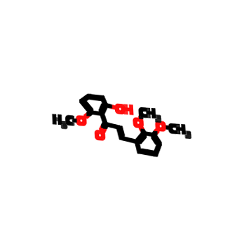 COc1cccc(C=CC(=O)c2c(O)cccc2OC)c1OC